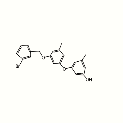 Cc1cc(O)cc(Oc2cc(C)cc(OCc3cccc(Br)c3)c2)c1